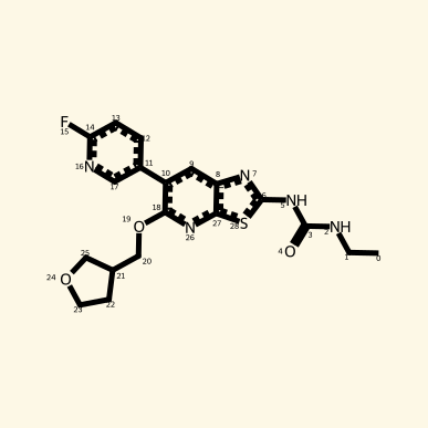 CCNC(=O)Nc1nc2cc(-c3ccc(F)nc3)c(OCC3CCOC3)nc2s1